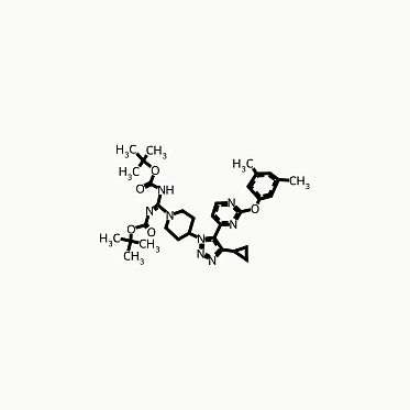 Cc1cc(C)cc(Oc2nccc(-c3c(C4CC4)nnn3C3CCN(/C(=N\C(=O)OC(C)(C)C)NC(=O)OC(C)(C)C)CC3)n2)c1